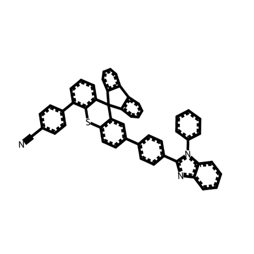 N#Cc1ccc(-c2cccc3c2Sc2ccc(-c4ccc(-c5nc6ccccc6n5-c5ccccc5)cc4)cc2C32c3ccccc3-c3ccccc32)cc1